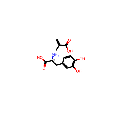 C=C(C)C(=O)O.N[C@@H](Cc1ccc(O)c(O)c1)C(=O)O